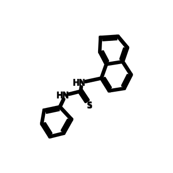 S=C(Nc1ccccc1)Nc1cccc2ccccc12